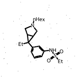 CCCCCCN1CC2C(C1)C2(CC)c1cccc(NS(=O)(=O)CC)c1